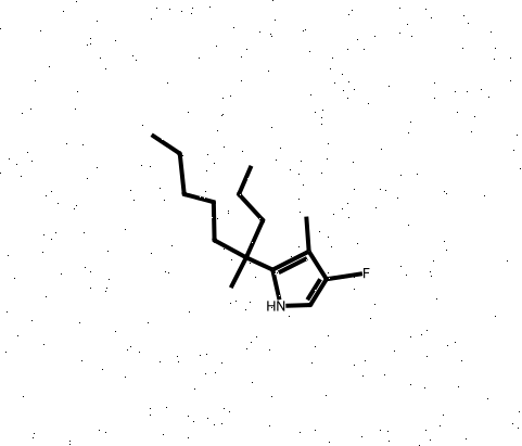 CCCCCC(C)(CCC)c1[nH]cc(F)c1C